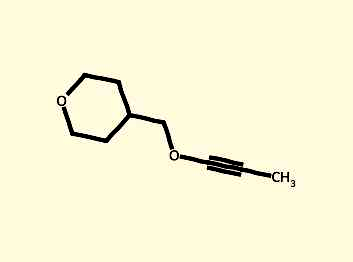 CC#COCC1CCOCC1